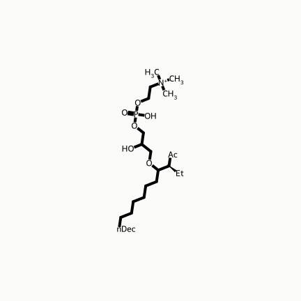 CCCCCCCCCCCCCCCCC(OCC(O)COP(=O)(O)OCC[N+](C)(C)C)[C@H](CC)C(C)=O